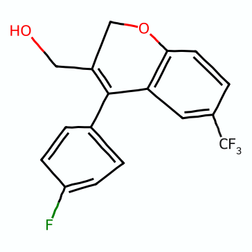 OCC1=C(c2ccc(F)cc2)c2cc(C(F)(F)F)ccc2OC1